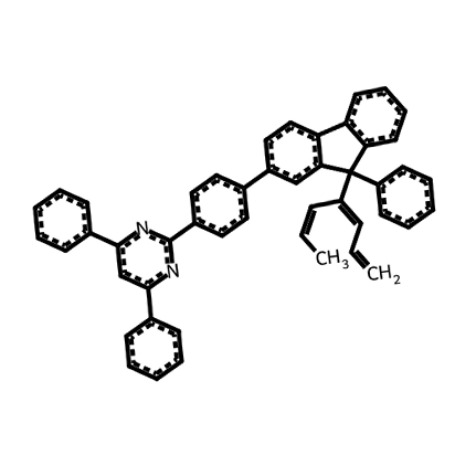 C=C/C=C(\C=C/C)C1(c2ccccc2)c2ccccc2-c2ccc(-c3ccc(-c4nc(-c5ccccc5)cc(-c5ccccc5)n4)cc3)cc21